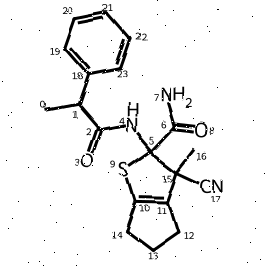 CC(C(=O)NC1(C(N)=O)SC2=C(CCC2)C1(C)C#N)c1ccccc1